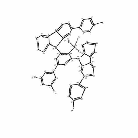 Cc1ccc(-c2ccc3c4ccccc4n(-c4cc(-c5cc(F)cc(F)c5)cc(-n5c6ccccc6c6ccc(-c7ccc(C)cc7)cc65)c4C(F)(F)F)c3c2)cc1